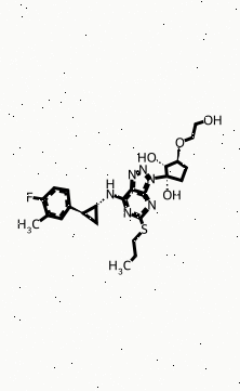 CCCSc1nc(N[C@@H]2C[C@H]2c2ccc(F)c(C)c2)c2nnn([C@]3(O)CC[C@H](OCCO)[C@H]3O)c2n1